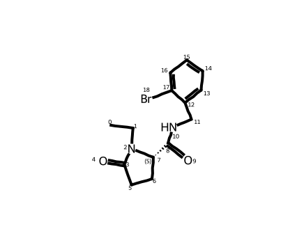 CCN1C(=O)CC[C@H]1C(=O)NCc1ccccc1Br